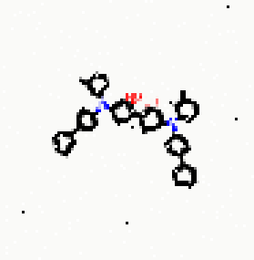 Cc1cccc(N(c2ccc(-c3ccccc3)cc2)c2ccc(-c3ccc(N(c4ccc(-c5ccccc5)cc4)c4cccc(C)c4)cc3O)c(O)c2)c1